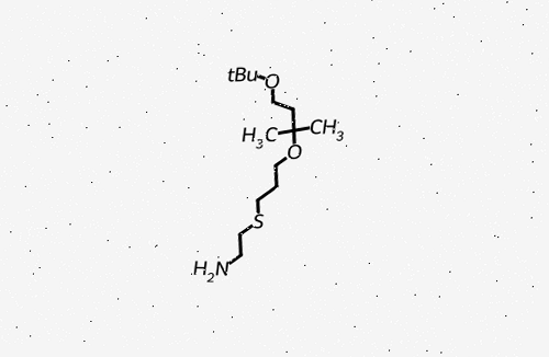 CC(C)(C)OCCC(C)(C)OCCCSCCN